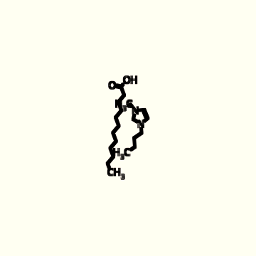 CCCCCCCCCCCC(=O)O.CCCCN1C=CN(C)C1